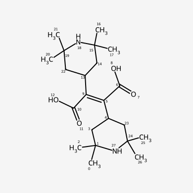 CC1(C)CC(/C(C(=O)O)=C(\C(=O)O)C2CC(C)(C)NC(C)(C)C2)CC(C)(C)N1